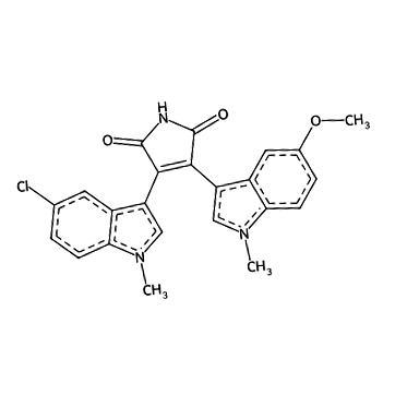 COc1ccc2c(c1)c(C1=C(c3cn(C)c4ccc(Cl)cc34)C(=O)NC1=O)cn2C